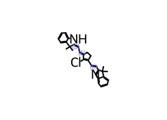 CC1(C)C(/C=C/C2=C(Cl)C(=C/C=C3/Nc4ccccc4C3(C)C)/CC2)=Nc2ccccc21